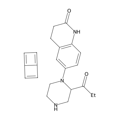 CCC(=O)C1CNCCN1c1ccc2c(c1)CCC(=O)N2.c1cc2ccc1-2